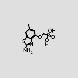 Cc1cc(OCP(=O)(O)O)c2nc(N)sc2c1